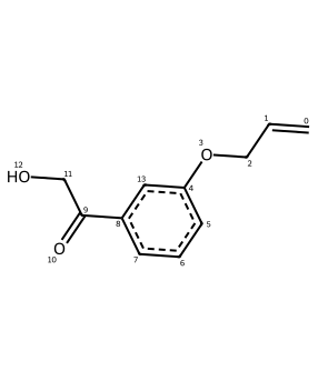 C=CCOc1cccc(C(=O)CO)c1